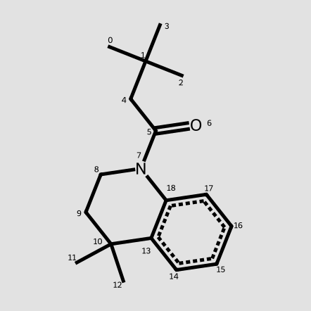 CC(C)(C)CC(=O)N1CCC(C)(C)c2ccccc21